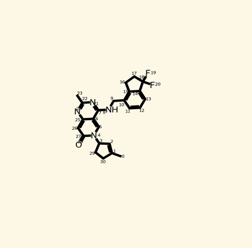 CC1=CC(n2cc3c(NCc4cccc5c4CCC5(F)F)nc(C)nc3cc2=O)CC1